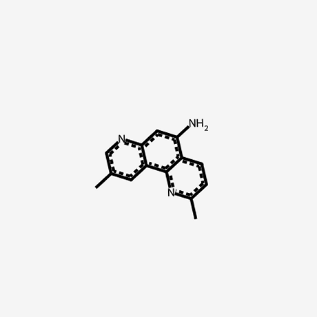 Cc1cnc2cc(N)c3ccc(C)nc3c2c1